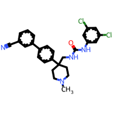 CN1CCC(CNC(=O)Nc2cc(Cl)cc(Cl)c2)(c2ccc(-c3cccc(C#N)c3)cc2)CC1